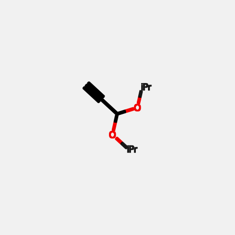 C#CC(OC(C)C)OC(C)C